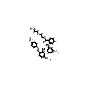 CCOc1ccc(/N=N/c2ccc(N)cc2N)cc1.O=C(OCCOCCO)c1ccccc1Nc1cccc(C(F)(F)F)c1